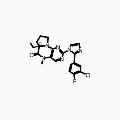 CC[C@@]12CCCN1c1nc(-n3ccnc3-c3ccc(F)c(Cl)c3)ncc1N(C)C2=O